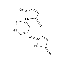 C1=CNSC=C1.O=C1C=CC(=O)N1.O=C1C=CC(=O)N1